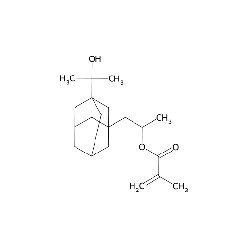 C=C(C)C(=O)OC(C)CC12CC3CC(C1)CC(C(C)(C)O)(C3)C2